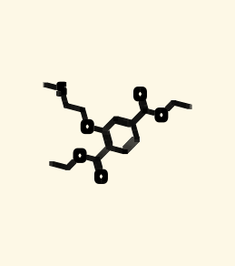 CCOC(=O)c1ccc(C(=O)OCC)c(OCCSC)c1